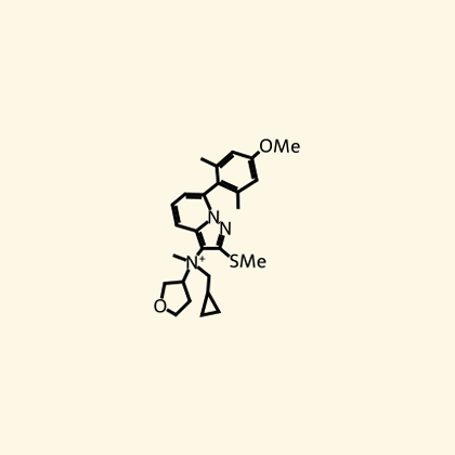 COc1cc(C)c(-c2cccc3c([N+](C)(CC4CC4)C4CCOC4)c(SC)nn23)c(C)c1